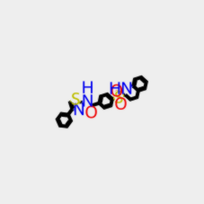 O=C(Nc1nc(-c2ccccc2)cs1)c1ccc(S(=O)(=O)C2CCc3ccccc3N2)cc1